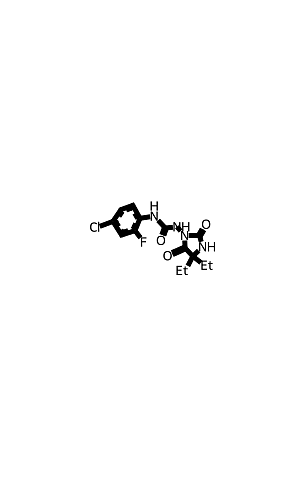 CCC1(CC)NC(=O)N(NC(=O)Nc2ccc(Cl)cc2F)C1=O